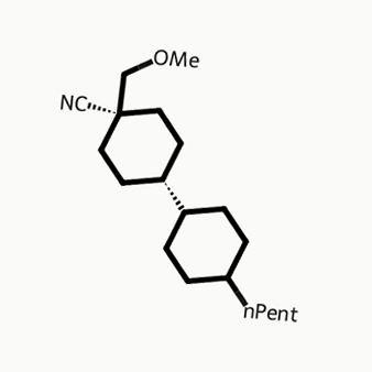 CCCCCC1CCC([C@H]2CC[C@](C#N)(COC)CC2)CC1